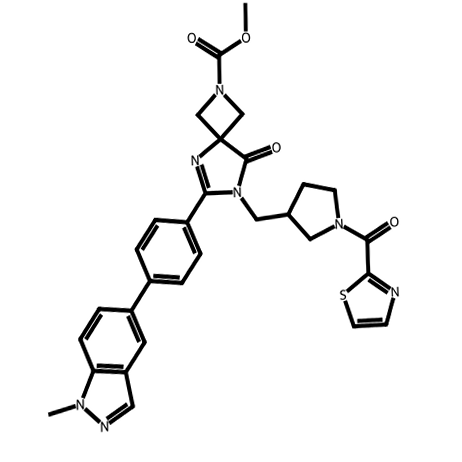 COC(=O)N1CC2(C1)N=C(c1ccc(-c3ccc4c(cnn4C)c3)cc1)N(CC1CCN(C(=O)c3nccs3)C1)C2=O